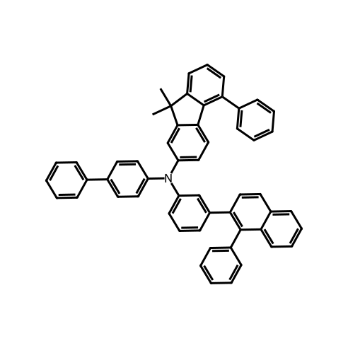 CC1(C)c2cc(N(c3ccc(-c4ccccc4)cc3)c3cccc(-c4ccc5ccccc5c4-c4ccccc4)c3)ccc2-c2c(-c3ccccc3)cccc21